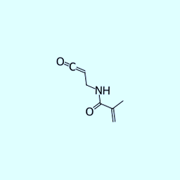 C=C(C)C(=O)NCC=C=O